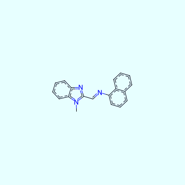 Cn1c(/C=N/c2cccc3ccccc23)nc2ccccc21